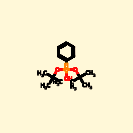 CC(C)(C)O[PH](O)(OC(C)(C)C)c1ccccc1